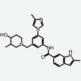 Cc1cn(-c2cc(CN3CCC(O)C(C)C3)cc(NC(=O)c3ccc4cc(C)[nH]c4c3)c2)cn1